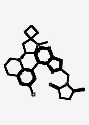 CN1C[C@@H](N2CCCc3cc(Cl)cc(-c4ccnc5cc(CN6C(=O)CCC6=O)sc45)c32)CC12CCC2